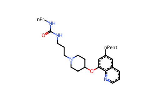 CCCCCc1cc(OC2CCN(CCCNC(=O)NCCC)CC2)c2ncccc2c1